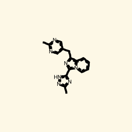 Cc1ncc(Cc2nc(-c3nc(C)n[nH]3)n3ccccc23)cn1